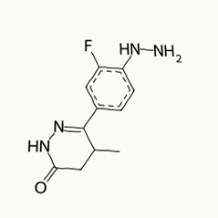 CC1CC(=O)NN=C1c1ccc(NN)c(F)c1